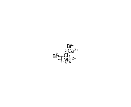 [Br-].[Br-].[Ca+2].[Cl-].[Cl-].[Mg+2]